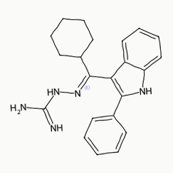 N=C(N)N/N=C(/c1c(-c2ccccc2)[nH]c2ccccc12)C1CCCCC1